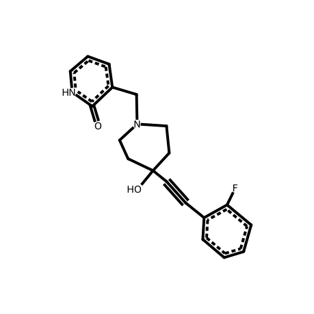 O=c1[nH]cccc1CN1CCC(O)(C#Cc2ccccc2F)CC1